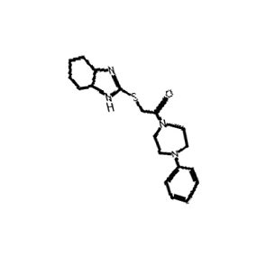 O=C(CSC1=NC2CCCCC2N1)N1CCN(c2ccccc2)CC1